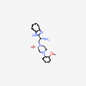 Br.COc1ccccc1N1CCN(CC(N)c2nc3ccccc3[nH]2)CC1